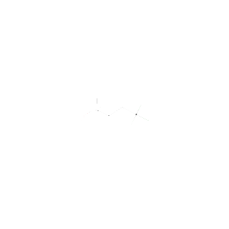 [O][SiH2]CCC(F)(F)F